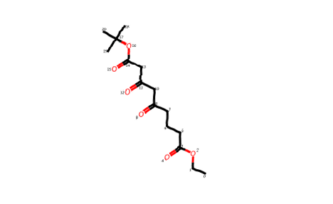 CCOC(=O)CCCC(=O)CC(=O)CC(=O)OC(C)(C)C